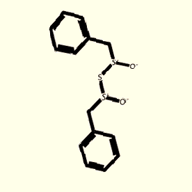 [O-][S+](Cc1ccccc1)S[S+]([O-])Cc1ccccc1